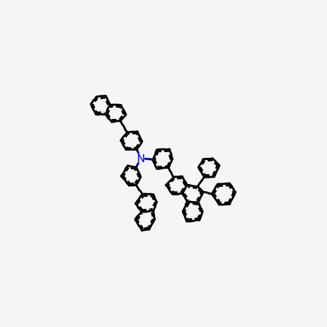 c1ccc(-c2c(-c3ccccc3)c3cc(-c4cccc(N(c5ccc(-c6ccc7ccccc7c6)cc5)c5cccc(-c6ccc7ccccc7c6)c5)c4)ccc3c3ccccc23)cc1